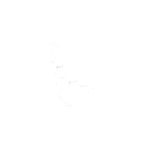 CN=[N+]=NCCN(CC(=O)NCCS(=O)(=O)O)CC(=O)NCCS(=O)(=O)O